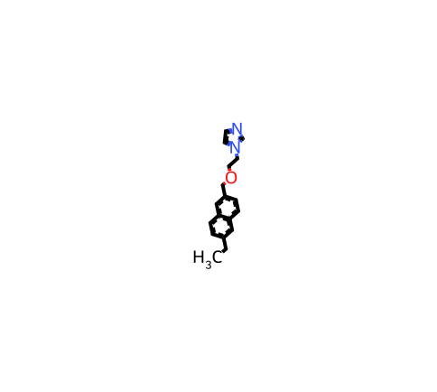 CCc1ccc2cc(COCCn3ccnc3)ccc2c1